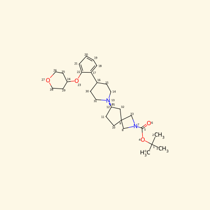 CC(C)(C)OC(=O)N1CC2(CC[C@@H](N3CCC(c4ccccc4OC4CCOCC4)CC3)C2)C1